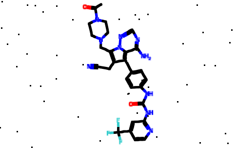 CC(=O)N1CCN(Cc2c(CC#N)c(-c3ccc(NC(=O)Nc4cc(C(F)(F)F)ccn4)cc3)c3c(N)ncnn23)CC1